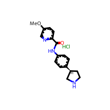 COc1ccc(C(=O)Nc2ccc([C@H]3CCNC3)cc2)nc1.Cl